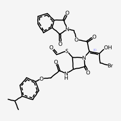 CC(C)c1ccc(OCC(=O)NC2C(=O)N(/C(C(=O)OCN3C(=O)c4ccccc4C3=O)=C(/O)CBr)C2SC=O)cc1